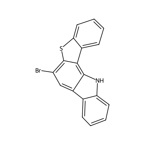 Brc1cc2c3ccccc3[nH]c2c2c1sc1ccccc12